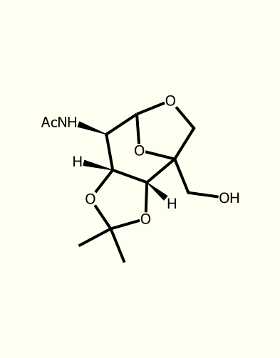 CC(=O)N[C@H]1C2OCC(CO)(O2)[C@@H]2OC(C)(C)O[C@@H]21